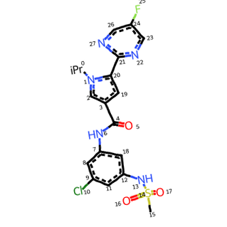 CC(C)n1cc(C(=O)Nc2cc(Cl)cc(NS(C)(=O)=O)c2)cc1-c1ncc(F)cn1